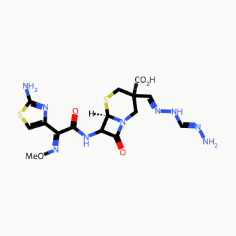 CON=C(C(=O)NC1C(=O)N2CC(C=NNC=NN)(C(=O)O)CS[C@H]12)c1csc(N)n1